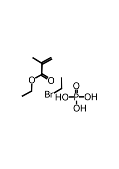 C=C(C)C(=O)OCC.CCBr.O=P(O)(O)O